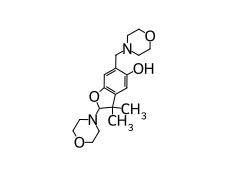 CC1(C)c2cc(O)c(CN3CCOCC3)cc2OC1N1CCOCC1